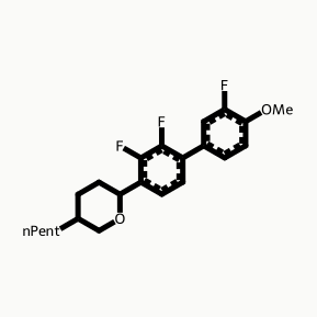 CCCCCC1CCC(c2ccc(-c3ccc(OC)c(F)c3)c(F)c2F)OC1